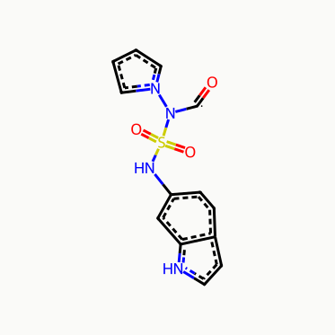 O=[C]N(n1cccc1)S(=O)(=O)Nc1ccc2cc[nH]c2c1